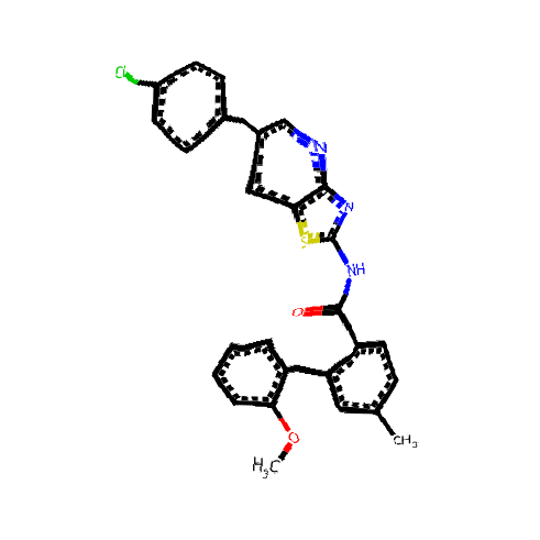 COc1ccccc1-c1cc(C)ccc1C(=O)Nc1nc2ncc(-c3ccc(Cl)cc3)cc2s1